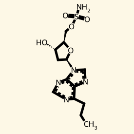 CCCc1ncnc2c1ncn2[C@H]1C[C@H](O)[C@@H](COS(N)(=O)=O)O1